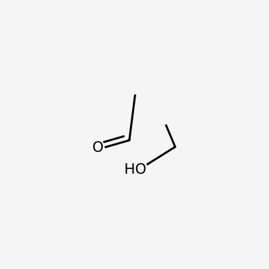 CC=O.CCO